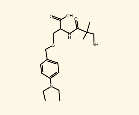 CCN(CC)c1ccc(CSCC(NC(=O)C(C)(C)CS)C(=O)O)cc1